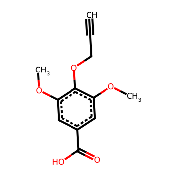 C#CCOc1c(OC)cc(C(=O)O)cc1OC